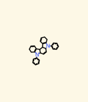 C1=CC2=C(CC1)N(c1ccccc1)C1C=CC3C(C4=C(CCC=C4)N3c3ccccc3)C21